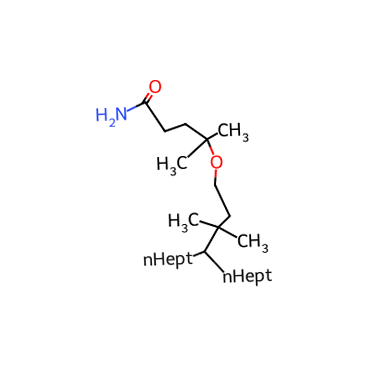 CCCCCCCC(CCCCCCC)C(C)(C)CCOC(C)(C)CCC(N)=O